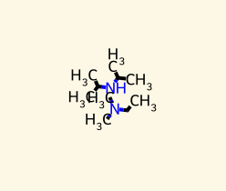 CC(C)NC(C)C.CCN(C)C